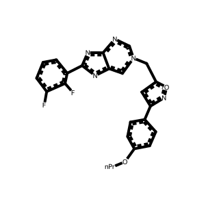 CCCOc1ccc(-c2cc(Cn3cnc4nc(-c5cccc(F)c5F)nc-4c3)on2)cc1